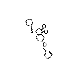 O=S1(=O)CC(Sc2ccccc2)c2ccc(OCc3ccccc3)cc21